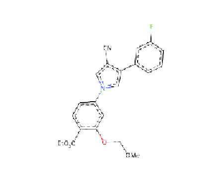 CCOC(=O)c1ccc(-n2cc(C#N)c(-c3cccc(F)c3)c2)cc1OCOC